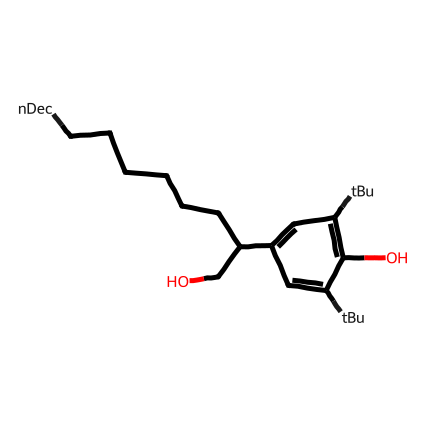 CCCCCCCCCCCCCCCCC(CO)c1cc(C(C)(C)C)c(O)c(C(C)(C)C)c1